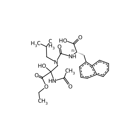 CCOC(=O)C(O)(CN(CC(C)C)C(=O)N[C@@H](Cc1cccc2ccccc12)C(=O)O)NC(C)=O